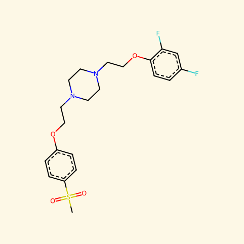 CS(=O)(=O)c1ccc(OCCN2CCN(CCOc3ccc(F)cc3F)CC2)cc1